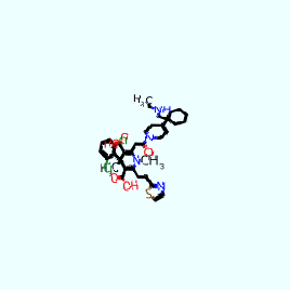 CCNCC1(C2CCN(C(=O)CC3=C(C(=O)O)C(C)(c4c(Cl)cccc4Cl)C(C(=O)O)=C(CCc4nccs4)N3C)CC2)CCCCC1